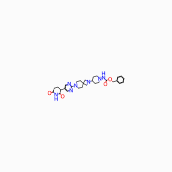 O=C1CCC(c2cnc(N3CCC4(CC3)CN(C3CCN(NC(=O)OCc5ccccc5)CC3)C4)nc2)C(=O)N1